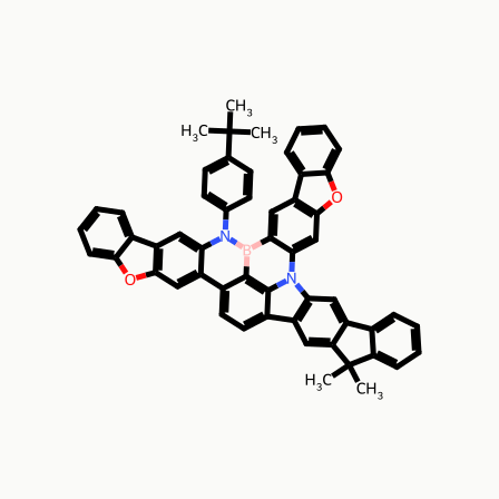 CC(C)(C)c1ccc(N2B3c4cc5c(cc4-n4c6cc7c(cc6c6ccc(c3c64)-c3cc4oc6ccccc6c4cc32)C(C)(C)c2ccccc2-7)oc2ccccc25)cc1